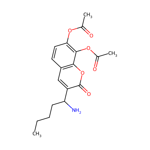 CCCCC(N)c1cc2ccc(OC(C)=O)c(OC(C)=O)c2oc1=O